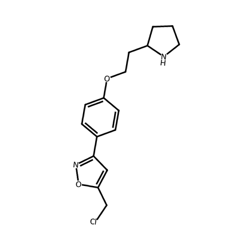 ClCc1cc(-c2ccc(OCCC3CCCN3)cc2)no1